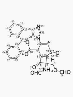 O=CNC1(COC=O)C(=O)N2C(C(=O)OC(c3ccccc3)c3ccccc3)C(n3ccnc3)=C[S+]([O-])[C@H]21